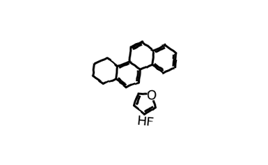 F.c1ccc2c(c1)ccc1c3c(ccc12)CCCC3.c1ccoc1